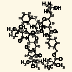 CC(C)(C)C(=O)OCc1ccc(NC(=O)[C@H](CCCNC(N)O)NC(=O)[C@@H](Cc2ccccc2)NC(=O)COC(CN2C(=O)CC(C(C)(C)C)C2=O)CN2C(=O)CC(C(C)(C)C)C2=O)cc1